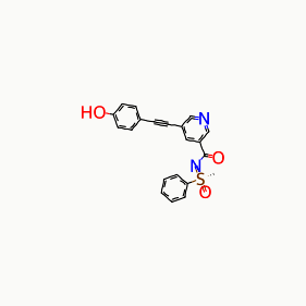 C[S@@](=O)(=NC(=O)c1cncc(C#Cc2ccc(O)cc2)c1)c1ccccc1